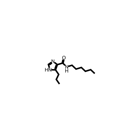 CCCCCCNC(=O)c1nc[nH]c1CCC